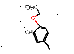 C.Cc1ccc(OCC=O)cc1